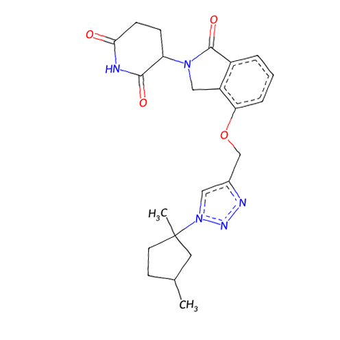 CC1CCC(C)(n2cc(COc3cccc4c3CN(C3CCC(=O)NC3=O)C4=O)nn2)C1